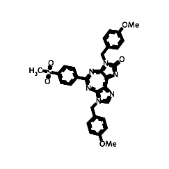 COc1ccc(Cn2c3nc(-c4ccc(S(C)(=O)=O)cc4)nc4c(ncn4Cc4ccc(OC)cc4)c-3nc2=O)cc1